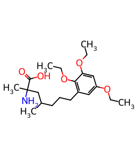 CCOc1cc(CCCC(C)CC(C)(N)C(=O)O)c(OCC)c(OCC)c1